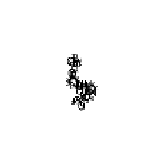 COC(=O)c1ccc2c(n1)N(C(=O)Nc1cc(OC[C@@H]3COC(C)(C)O3)ccn1)[C@H]1CCN2C1